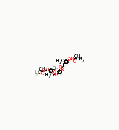 C=C(C)C(=O)OCOc1ccc(CCC(=O)OC2CCC(OC(CC)Oc3ccc(OCOC(=O)C(=C)C)cc3C)CC2)c(C)c1